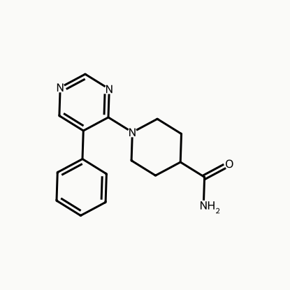 NC(=O)C1CCN(c2ncncc2-c2ccccc2)CC1